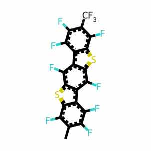 Cc1c(F)c(F)c2c(sc3c(F)c4c(sc5c(F)c(C(F)(F)F)c(F)c(F)c54)c(F)c32)c1F